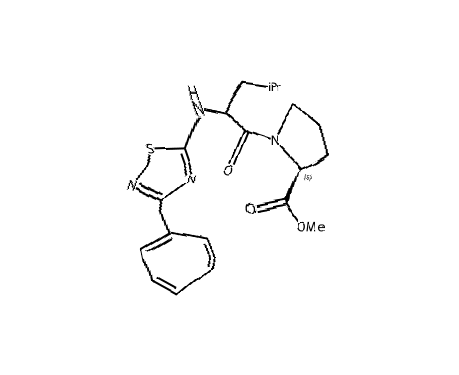 COC(=O)[C@@H]1CCCN1C(=O)C(CC(C)C)Nc1nc(-c2ccccc2)ns1